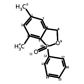 Cc1cc(C)c2c(c1)COP2(=O)c1ccccc1